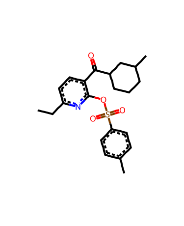 CCc1ccc(C(=O)C2CCCC(C)C2)c(OS(=O)(=O)c2ccc(C)cc2)n1